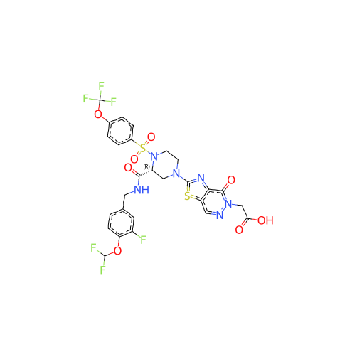 O=C(O)Cn1ncc2sc(N3CCN(S(=O)(=O)c4ccc(OC(F)(F)F)cc4)[C@@H](C(=O)NCc4ccc(OC(F)F)c(F)c4)C3)nc2c1=O